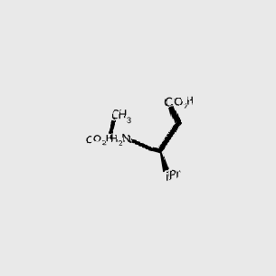 CC(=O)O.CC(C)[C@@H](N)CC(=O)O